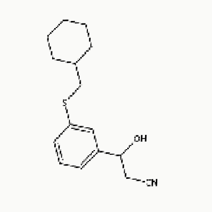 N#CCC(O)c1cccc(SCC2CCCCC2)c1